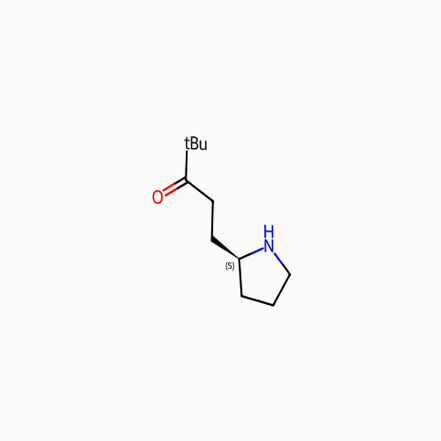 CC(C)(C)C(=O)CC[C@@H]1CCCN1